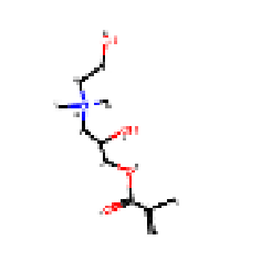 C=C(C)C(=O)OCC(O)C[N+](C)(C)CCO